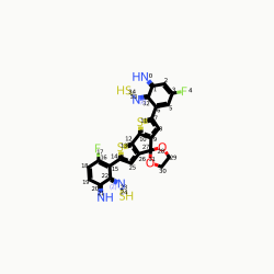 N=C1C=C(F)C=C(c2cc3c(s2)-c2sc(C4=C(F)C=CC(=N)/C4=N\S)cc2C32OCCO2)/C1=N/S